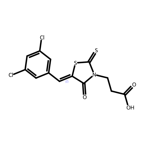 O=C(O)CCN1C(=O)/C(=C/c2cc(Cl)cc(Cl)c2)SC1=S